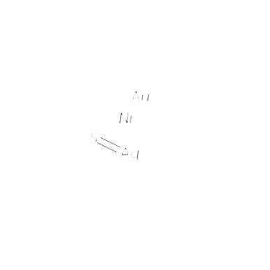 [Au].[Ni].[S]=[Ag]